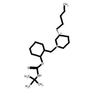 CCCCC[C@@H]1CCCN(CC2CCCCC2OC(=O)NC(C)(C)C)C1